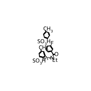 CCN(C(=O)c1cccc(F)c1)C(C)C.Cc1ccc(S(=O)(=O)O)cc1.Cc1ccc(S(=O)(=O)O)cc1